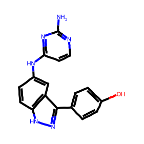 Nc1nccc(Nc2ccc3[nH]nc(-c4ccc(O)cc4)c3c2)n1